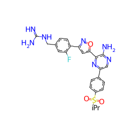 CC(C)S(=O)(=O)c1ccc(-c2cnc(N)c(-c3cc(-c4ccc(CNC(=N)N)cc4F)no3)n2)cc1